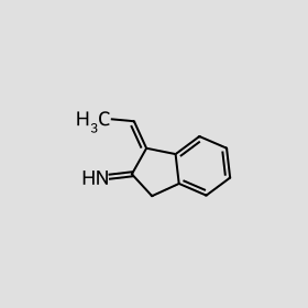 C/C=C1\C(=N)Cc2ccccc21